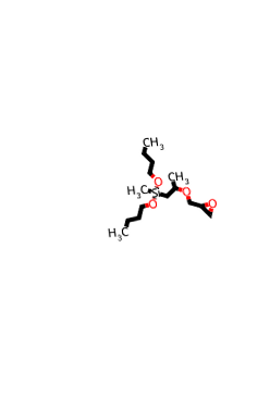 CCCCO[Si](C)(CC(C)OCC1CO1)OCCCC